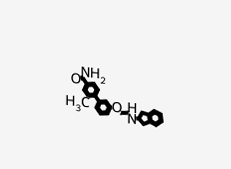 Cc1cc(C(N)=O)ccc1-c1cccc(OCCNC2Cc3ccccc3C2)c1